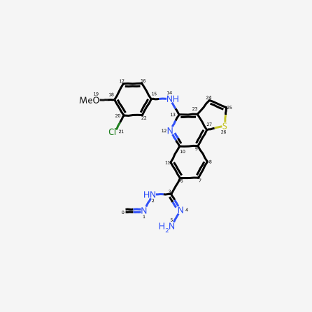 C=NN/C(=N\N)c1ccc2c(c1)nc(Nc1ccc(OC)c(Cl)c1)c1ccsc12